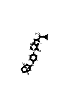 CN1[C@@H]2CC[C@H]1CC(Oc1ccc(-n3cnc4cc(C(O)C5CC5)sc4c3=O)cc1)C2